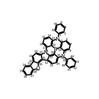 c1ccc(N2c3cccc4c3B3c5c2cccc5-n2c5ccc6c7ccccc7oc6c5c5ccc(c3c52)N4c2ccccc2)cc1